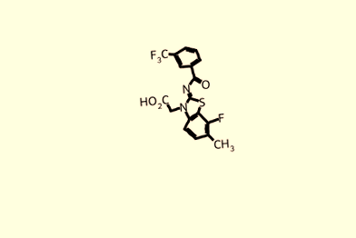 Cc1ccc2c(s/c(=N\C(=O)c3cccc(C(F)(F)F)c3)n2CC(=O)O)c1F